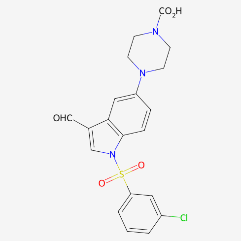 O=Cc1cn(S(=O)(=O)c2cccc(Cl)c2)c2ccc(N3CCN(C(=O)O)CC3)cc12